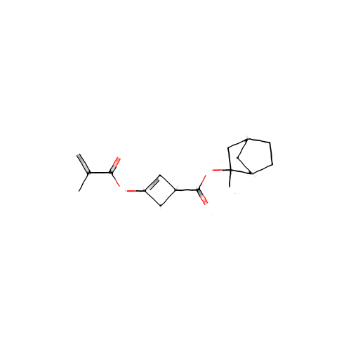 C=C(C)C(=O)OC1=CC(C(=O)OC2(C(C)CC)CC3CCC2C3)C1